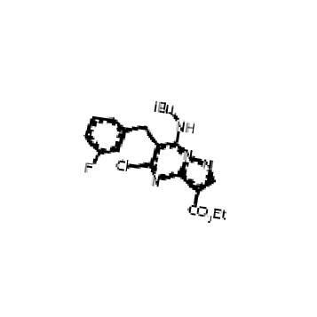 CCOC(=O)c1cnn2c(NC(C)CC)c(Cc3cccc(F)c3)c(Cl)nc12